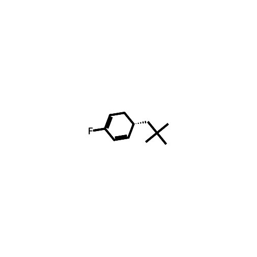 CC(C)(C)C[C@@H]1C=CC(F)=CC1